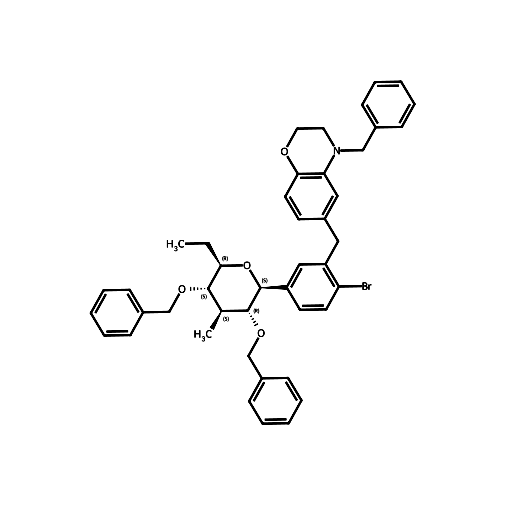 CC[C@H]1O[C@@H](c2ccc(Br)c(Cc3ccc4c(c3)N(Cc3ccccc3)CCO4)c2)[C@H](OCc2ccccc2)[C@@H](C)[C@@H]1OCc1ccccc1